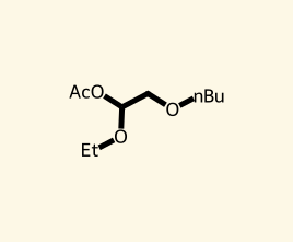 CCCCOCC(OCC)OC(C)=O